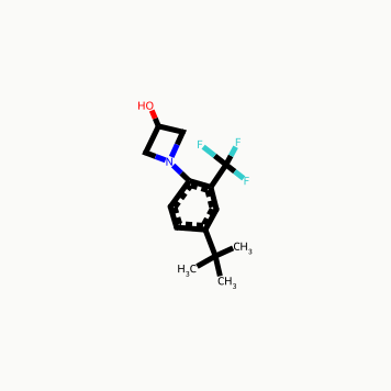 CC(C)(C)c1ccc(N2CC(O)C2)c(C(F)(F)F)c1